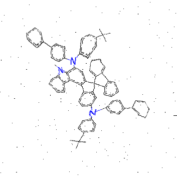 Cn1c2ccccc2c2c3c(cc(N(c4ccc(-c5ccccc5)cc4)c4ccc(C(C)(C)C)cc4)c21)C1(C2=CCCC=C2c2ccccc21)c1cc(N(c2ccc(C4=CCCC=C4)cc2)c2ccc(C(C)(C)C)cc2)ccc1-3